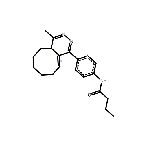 CCCC(=O)Nc1ccc(C2=NN=C(C)C3CCCCC/C=C/23)nc1